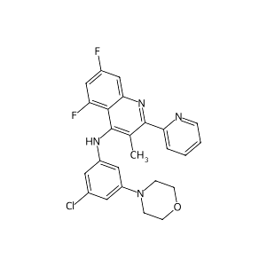 Cc1c(-c2ccccn2)nc2cc(F)cc(F)c2c1Nc1cc(Cl)cc(N2CCOCC2)c1